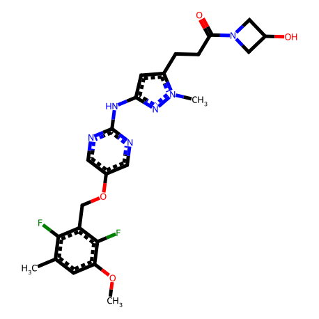 COc1cc(C)c(F)c(COc2cnc(Nc3cc(CCC(=O)N4CC(O)C4)n(C)n3)nc2)c1F